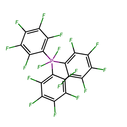 Fc1c(F)c(F)c(P(F)(F)(c2c(F)c(F)c(F)c(F)c2F)c2c(F)c(F)c(F)c(F)c2F)c(F)c1F